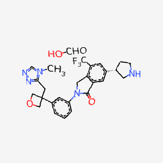 Cn1cnnc1CC1(c2cccc(N3Cc4c(cc([C@@H]5CCNC5)cc4C(F)(F)F)C3=O)c2)COC1.O=CO